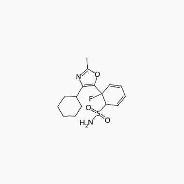 Cc1nc(C2CCCCC2)c(C2(F)C=CC=CC2S(N)(=O)=O)o1